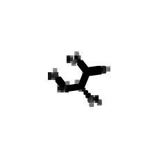 C[C@H](NS)C(N)=O